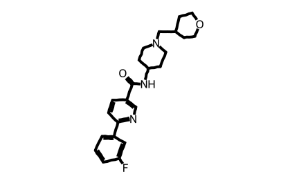 O=C(NC1CCN(CC2CCOCC2)CC1)c1ccc(-c2cccc(F)c2)nc1